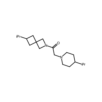 CC(C)C1CCN(CC(=O)N2CC3(CC(C(C)C)C3)C2)CC1